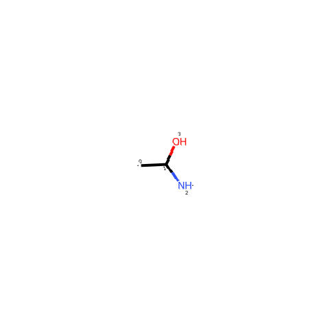 [CH2]C([NH])O